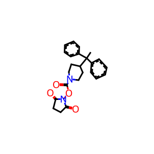 CC(c1ccccc1)(c1ccccc1)C1CCN(C(=O)ON2C(=O)CCC2=O)CC1